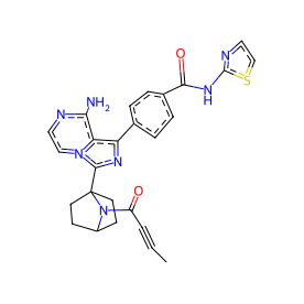 CC#CC(=O)N1C2CCC1(c1nc(-c3ccc(C(=O)Nc4nccs4)cc3)c3c(N)nccn13)CC2